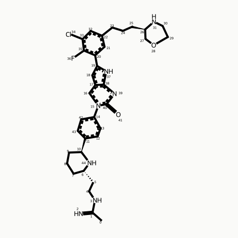 CC(=N)NCC[C@@H]1CCC[C@@H](c2ccc(-n3cc4cc(-c5cc(CCC[C@@H]6COCCN6)cc(Cl)c5F)[nH]c4nc3=O)cc2)N1